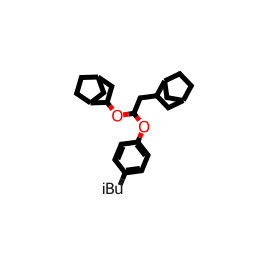 CCC(C)c1ccc(OC(CC2CC3CCC2C3)OC2CC3CCC2C3)cc1